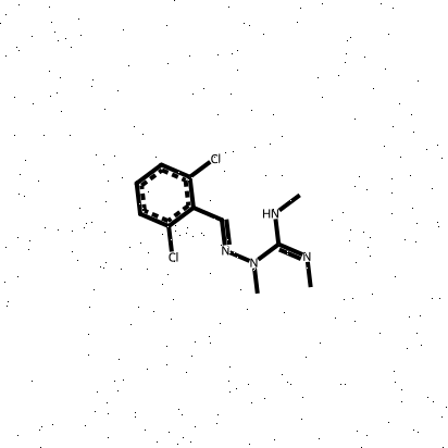 C/N=C(/NC)N(C)/N=C/c1c(Cl)cccc1Cl